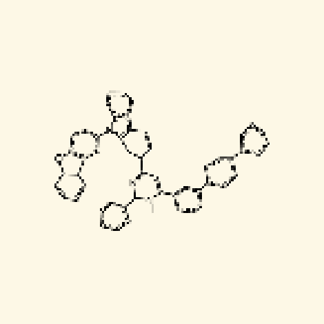 C1=CC2Oc3ccc(-n4c5c(c6ccccc64)C=CC(C4=NC(c6ccccc6)NC(c6cccc(-c7ccc(-c8ccccc8)cc7)c6)=C4)C5)cc3C2C=C1